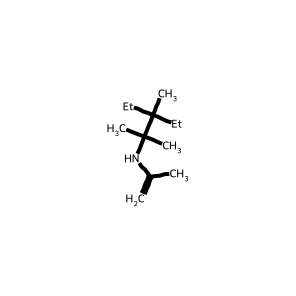 C=C(C)NC(C)(C)C(C)(CC)CC